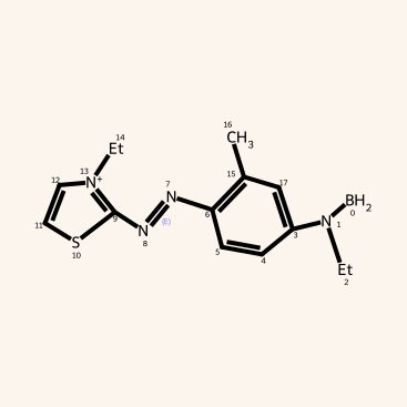 BN(CC)c1ccc(/N=N/c2scc[n+]2CC)c(C)c1